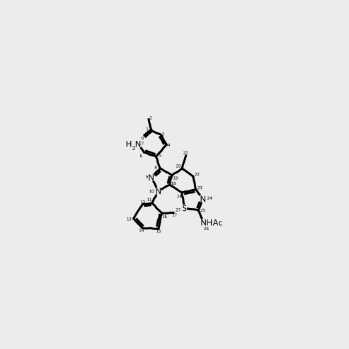 C=C(C)/C=C\C(=C/N)c1nn(-c2ccccc2C)c2c1C(C)Cc1nc(NC(C)=O)sc1-2